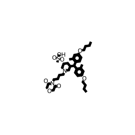 CCCCOc1ccc(C(c2ccc(OCCCC)cc2C)C2CCCN(CCCCN3C(=O)COCC3=O)C2)c(C)c1.CS(=O)(=O)O